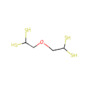 SC(S)COCC(S)S